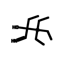 CCC(O)(C=N)[Si](CC)(CC)CC